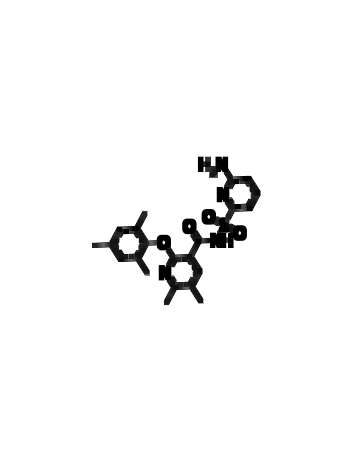 Cc1cc(C)c(Oc2nc(C)c(C)cc2C(=O)NS(=O)(=O)c2cccc(N)n2)c(C)c1